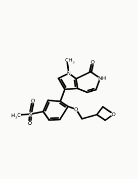 Cn1cc(-c2cc(S(C)(=O)=O)ccc2OCC2COC2)c2cc[nH]c(=O)c21